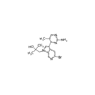 Cc1cnc(N)nc1-c1cn(CC(C)(C)O)c2cnc(Br)cc12